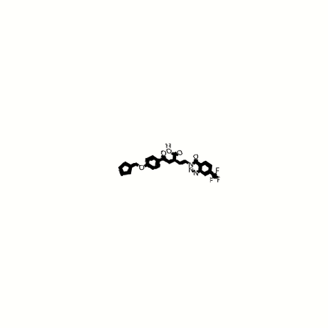 O=C(CC(CCn1nnc2cc(C(F)(F)F)ccc2c1=O)C(=O)O)c1ccc(OCC2CCCC2)cc1